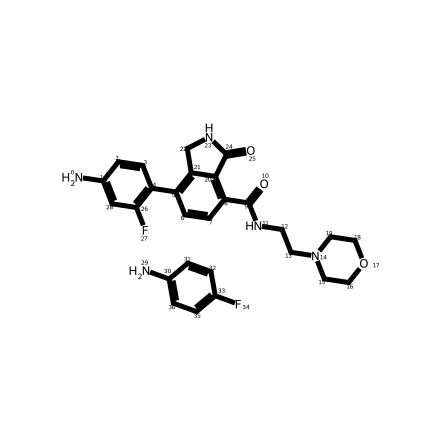 Nc1ccc(-c2ccc(C(=O)NCCN3CCOCC3)c3c2CNC3=O)c(F)c1.Nc1ccc(F)cc1